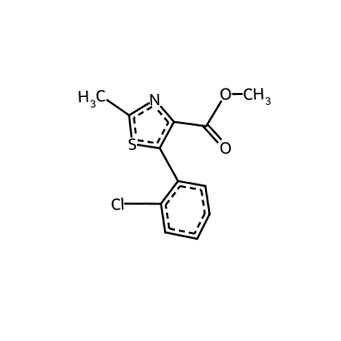 COC(=O)c1nc(C)sc1-c1ccccc1Cl